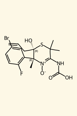 C=CC[C@@]1(O)SC(C)(C)C(NC(=O)O)=[N+]([O-])[C@]1(C)c1cc(Br)ccc1F